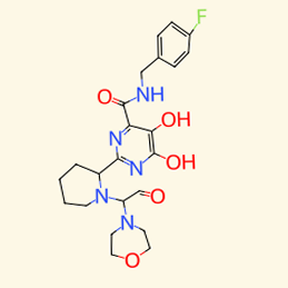 O=CC(N1CCOCC1)N1CCCCC1c1nc(O)c(O)c(C(=O)NCc2ccc(F)cc2)n1